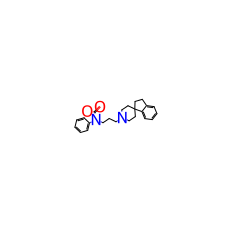 O=c1oc2ccccc2n1CCCN1CCC2(CCc3ccccc32)CC1